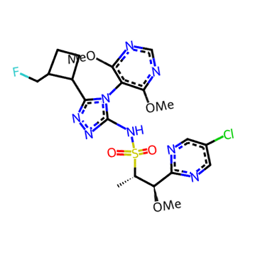 COc1ncnc(OC)c1-n1c(NS(=O)(=O)[C@@H](C)[C@H](OC)c2ncc(Cl)cn2)nnc1C1CCC1CF